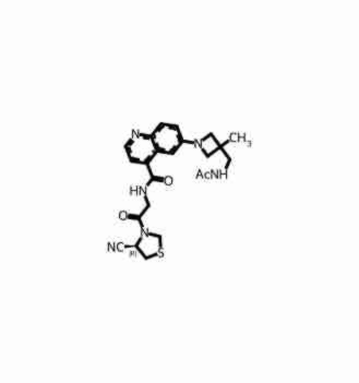 CC(=O)NCC1(C)CN(c2ccc3nccc(C(=O)NCC(=O)N4CSC[C@H]4C#N)c3c2)C1